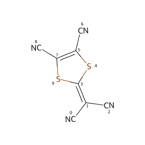 N#CC(C#N)=C1SC(C#N)=C(C#N)S1